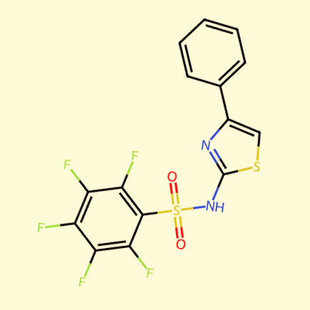 O=S(=O)(Nc1nc(-c2ccccc2)cs1)c1c(F)c(F)c(F)c(F)c1F